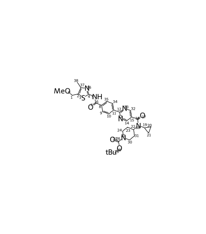 COCc1sc(NC(=O)c2ccc(-c3ncc(C(=O)N(C4CC4)C4CCN(C(=O)OC(C)(C)C)CC4)cn3)cc2)nc1C